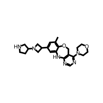 Cc1cc(C2CN(C3CCNC3)C2)cc2c1OCc1c(ncnc1N1CCOCC1)N2